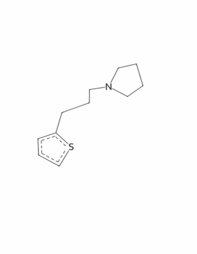 c1csc(CCCN2CCCC2)c1